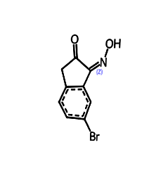 O=C1Cc2ccc(Br)cc2/C1=N/O